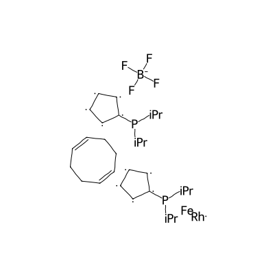 C1=C\CC/C=C\CC/1.CC(C)P([C]1[CH][CH][CH][CH]1)C(C)C.CC(C)P([C]1[CH][CH][CH][CH]1)C(C)C.F[B-](F)(F)F.[Fe].[Rh]